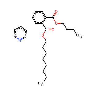 CCCCCCCCOC(=O)c1ccccc1C(=O)OCCCC.c1ccncc1